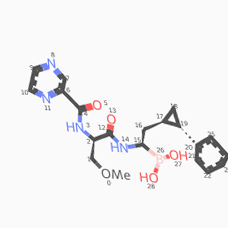 COC[C@@H](NC(=O)c1cnccn1)C(=O)N[C@@H](C[C@H]1C[C@@H]1c1ccccc1)B(O)O